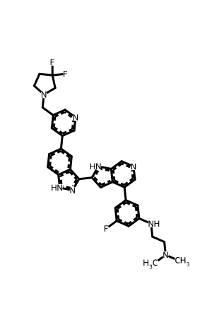 CN(C)CCNc1cc(F)cc(-c2cncc3[nH]c(-c4n[nH]c5ccc(-c6cncc(CN7CCC(F)(F)C7)c6)cc45)cc23)c1